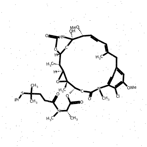 COc1cc2cc(c1Cl)N(C)C(=O)C[C@H](OC(=O)[C@H](C)N(C)C(=O)CCC(C)(C)SC(C)C)[C@]1(C)O[C@H]1[C@H](C)[C@@H]1C[C@@](O)(NC(=O)O1)[C@H](OC)/C=C/C=C(\C)C2